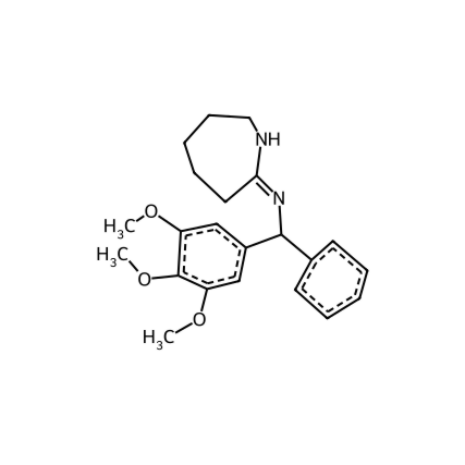 COc1cc(C(N=C2CCCCCN2)c2ccccc2)cc(OC)c1OC